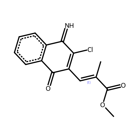 COC(=O)/C(C)=C/C1=C(Cl)C(=N)c2ccccc2C1=O